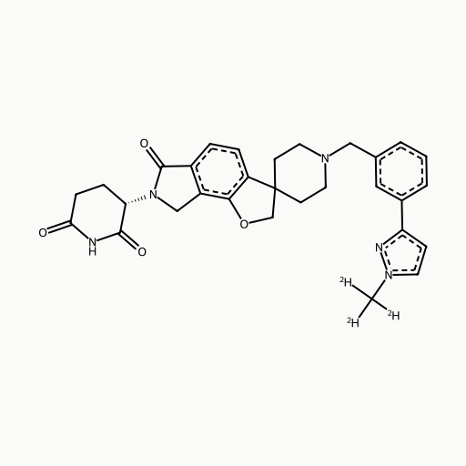 [2H]C([2H])([2H])n1ccc(-c2cccc(CN3CCC4(CC3)COc3c4ccc4c3CN([C@H]3CCC(=O)NC3=O)C4=O)c2)n1